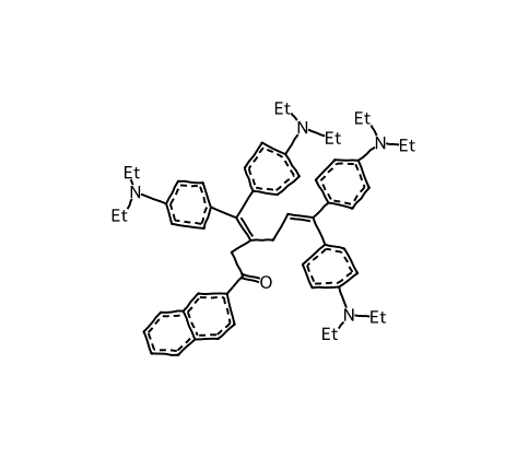 CCN(CC)c1ccc(C(=CCC(CC(=O)c2ccc3ccccc3c2)=C(c2ccc(N(CC)CC)cc2)c2ccc(N(CC)CC)cc2)c2ccc(N(CC)CC)cc2)cc1